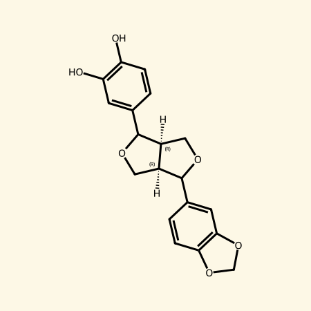 Oc1ccc(C2OC[C@@H]3C(c4ccc5c(c4)OCO5)OC[C@H]23)cc1O